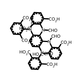 O=CN(c1ccc(N(C=O)c2c(C(=O)O)cccc2C(=O)O)c(N(C=O)c2c(C(=O)O)cccc2C(=O)O)c1N(C=O)c1c(C(=O)O)cccc1C(=O)O)c1c(C(=O)O)cccc1C(=O)O